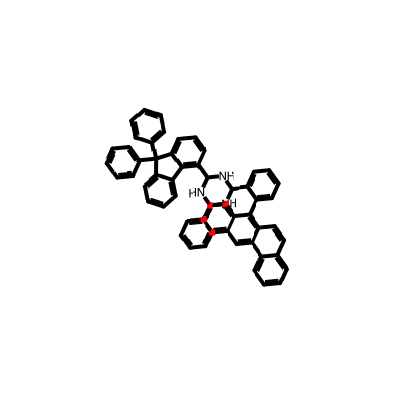 c1ccc(C2NC(c3ccccc3-c3c4ccccc4cc4c3ccc3ccccc34)NC(c3cccc4c3-c3ccccc3C4(c3ccccc3)c3ccccc3)N2)cc1